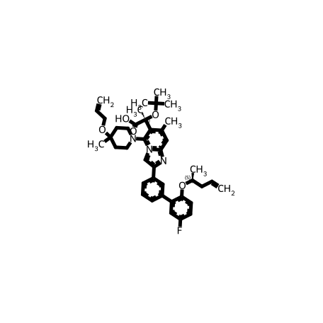 C=CCOC1(C)CCN(c2c([C@](C)(OC(C)(C)C)C(=O)O)c(C)cc3nc(-c4cccc(-c5cc(F)ccc5O[C@@H](C)CC=C)c4)cn23)CC1